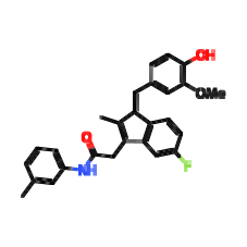 COc1cc(/C=C2/C(C)=C(CC(=O)Nc3cccc(C)c3)c3cc(F)ccc32)ccc1O